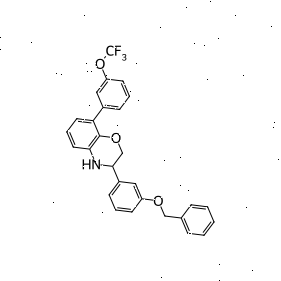 FC(F)(F)Oc1cccc(-c2cccc3c2OCC(c2cccc(OCc4ccccc4)c2)N3)c1